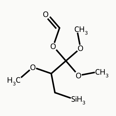 COC(C[SiH3])C(OC)(OC)OC=O